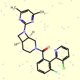 Cc1cc(C)nc(N2C[C@@H]3CCN(C(=O)c4cccc(F)c4-c4ncccc4Cl)C[C@@H]32)n1